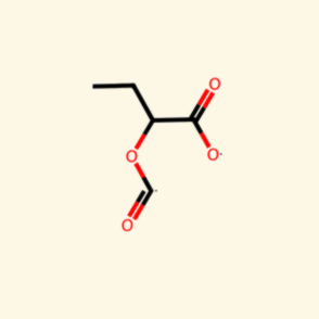 CCC(O[C]=O)C([O])=O